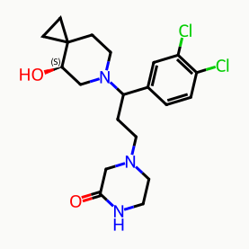 O=C1CN(CCC(c2ccc(Cl)c(Cl)c2)N2CCC3(CC3)[C@H](O)C2)CCN1